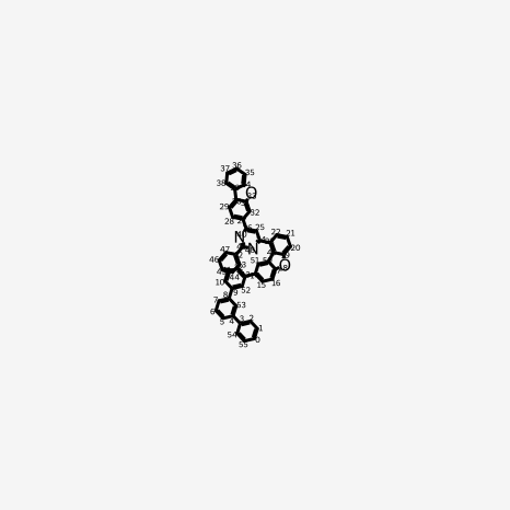 c1ccc(-c2cccc(-c3cccc(-c4ccc5oc6cccc(-c7cc(-c8ccc9c(c8)oc8ccccc89)nc(-c8ccccc8)n7)c6c5c4)c3)c2)cc1